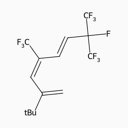 C=C(/C=C(\C=C\C(F)(C(F)(F)F)C(F)(F)F)C(F)(F)F)C(C)(C)C